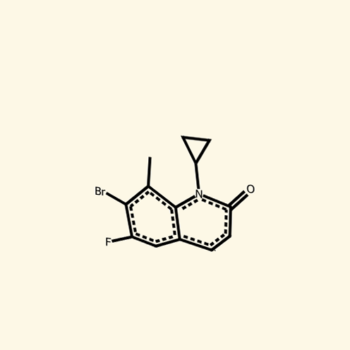 Cc1c(Br)c(F)cc2[c]cc(=O)n(C3CC3)c12